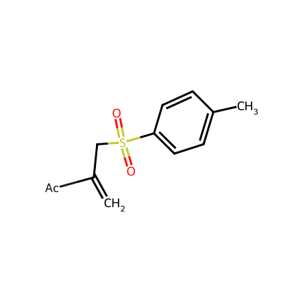 C=C(CS(=O)(=O)c1ccc(C)cc1)C(C)=O